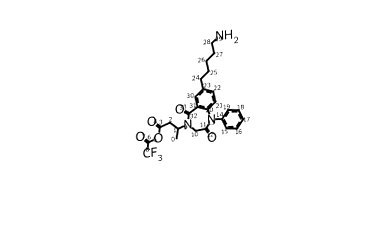 CC(CC(=O)OC(=O)C(F)(F)F)N1CC(=O)N(c2ccccc2)c2ccc(CCCCCN)cc2C1=O